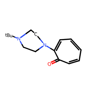 CC(C)(C)N1CCN(c2cccccc2=O)CC1